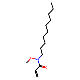 [CH2]CCCCCCCCCN(OC)C(=O)C=C